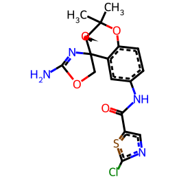 CC1(C)Oc2ccc(NC(=O)c3cnc(Cl)s3)cc2C2(COC(N)=N2)C12COC2